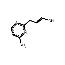 Nc1ncnc(CC=CO)n1